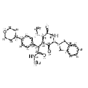 CC(C)C[C@@H]1C(=O)NC(C2Cc3ccccc3C2)C(=O)N1[C@@H](C(=O)NC(C)(C)C)c1ccc(N2CCOCC2)cc1